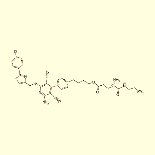 N#Cc1c(N)nc(SCc2csc(-c3ccc(Cl)cc3)n2)c(C#N)c1-c1ccc(CCCCOC(=O)CC[C@H](N)C(=O)NCCN)cc1